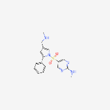 CNCc1cc(-c2ccccc2)n(S(=O)(=O)c2cnc(NC)nc2)c1